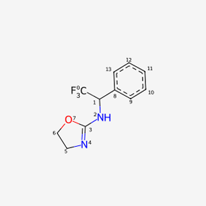 FC(F)(F)C(NC1=NCCO1)c1ccccc1